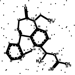 CCN1C(=O)CN=C(c2ccccc2F)c2cc(C(C)OC(C)=O)ccc21